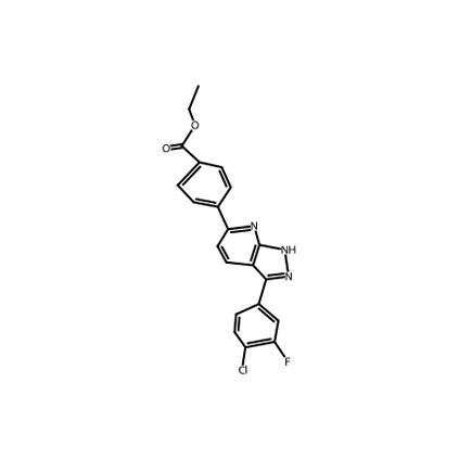 CCOC(=O)c1ccc(-c2ccc3c(-c4ccc(Cl)c(F)c4)n[nH]c3n2)cc1